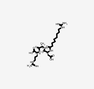 C[C@H](NC(=O)[C@H](CC(=O)O)NC(=O)CCCCCCCCNC(=N)N)C(=O)N[C@@H](CCCNC(=N)N)C(=O)O